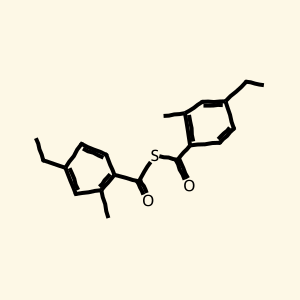 CCc1ccc(C(=O)SC(=O)c2ccc(CC)cc2C)c(C)c1